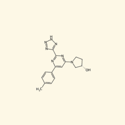 Cc1ccc(-c2cc(N3CC[C@H](O)C3)nc(-c3nn[nH]n3)n2)cc1